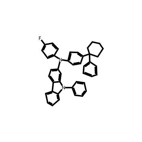 Fc1ccc(N(c2ccc(C3(c4ccccc4)CCCCC3)cc2)c2ccc3c4ccccc4n(-c4ccccc4)c3c2)cc1